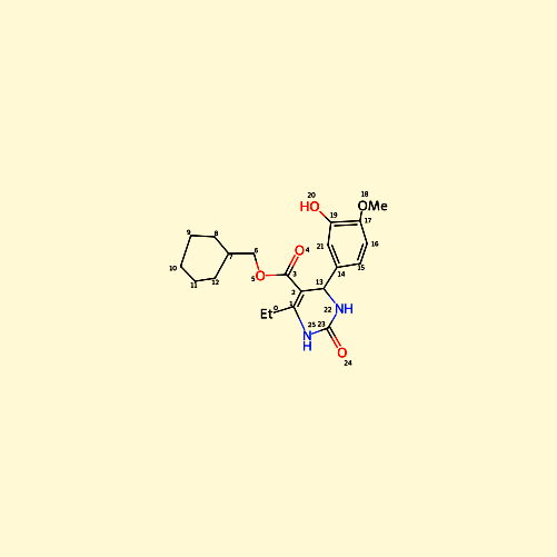 CCC1=C(C(=O)OCC2CCCCC2)C(c2ccc(OC)c(O)c2)NC(=O)N1